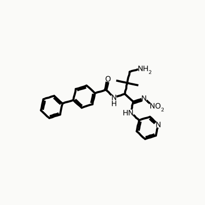 CC(C)(CN)C(NC(=O)c1ccc(-c2ccccc2)cc1)C(=N[N+](=O)[O-])Nc1cccnc1